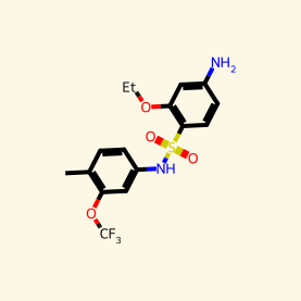 CCOc1cc(N)ccc1S(=O)(=O)Nc1ccc(C)c(OC(F)(F)F)c1